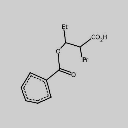 CCC(OC(=O)c1ccccc1)C(C(=O)O)C(C)C